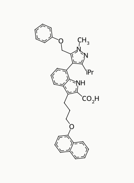 CC(C)c1nn(C)c(COc2ccccc2)c1-c1cccc2c(CCCOc3cccc4ccccc34)c(C(=O)O)[nH]c12